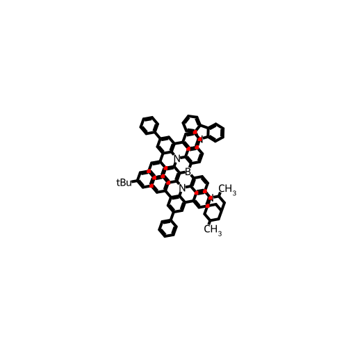 CC1CC2CC(C)N(c3ccc4c(c3)N(c3c(-c5ccccc5)cc(-c5ccccc5)cc3-c3ccccc3)c3cc(-c5ccc(C(C)(C)C)cc5)cc5c3B4c3ccc(-n4c6ccccc6c6ccccc64)cc3N5c3c(-c4ccccc4)cc(-c4ccccc4)cc3-c3ccccc3)C(C1)C2